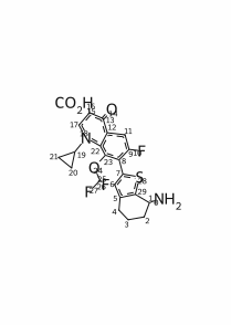 NC1CCCc2cc(-c3c(F)cc4c(=O)c(C(=O)O)cn(C5CC5)c4c3OC(F)F)sc21